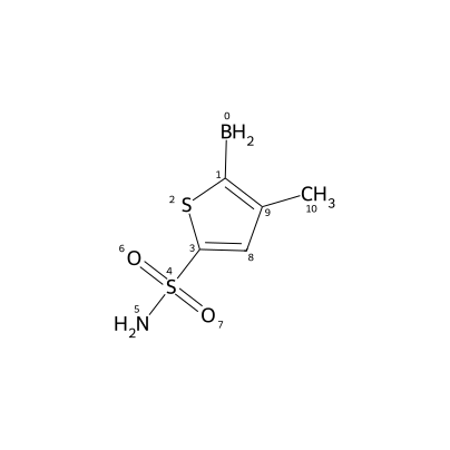 Bc1sc(S(N)(=O)=O)cc1C